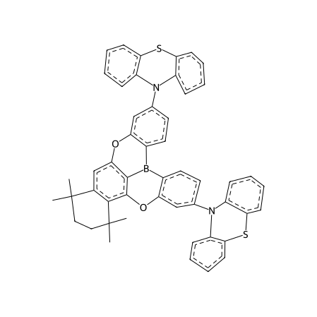 CC1(C)CCC(C)(C)c2c1cc1c3c2Oc2cc(N4c5ccccc5Sc5ccccc54)ccc2B3c2ccc(N3c4ccccc4Sc4ccccc43)cc2O1